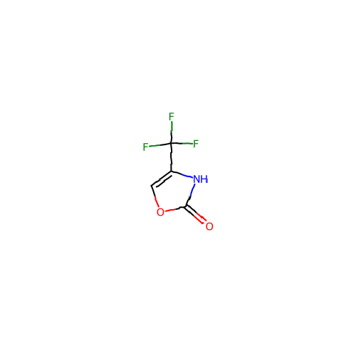 O=c1[nH]c(C(F)(F)F)co1